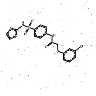 O=C(COc1cccc(Cl)c1)Nc1ccc(S(=O)(=O)Nc2nccs2)cc1